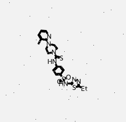 CCc1nnc(NS(=O)(=O)c2ccc(NC(=S)N3CCN(c4ncccc4C)CC3)cc2)s1